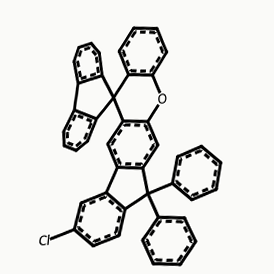 Clc1ccc2c(c1)-c1cc3c(cc1C2(c1ccccc1)c1ccccc1)Oc1ccccc1C31c2ccccc2-c2ccccc21